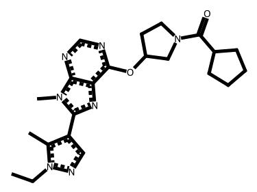 CCn1ncc(-c2nc3c(OC4CCN(C(=O)C5CCCC5)C4)ncnc3n2C)c1C